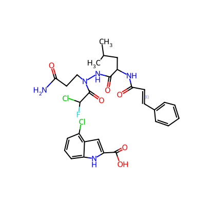 CC(C)CC(NC(=O)/C=C/c1ccccc1)C(=O)NN(CCC(N)=O)C(=O)C(F)Cl.O=C(O)c1cc2c(Cl)cccc2[nH]1